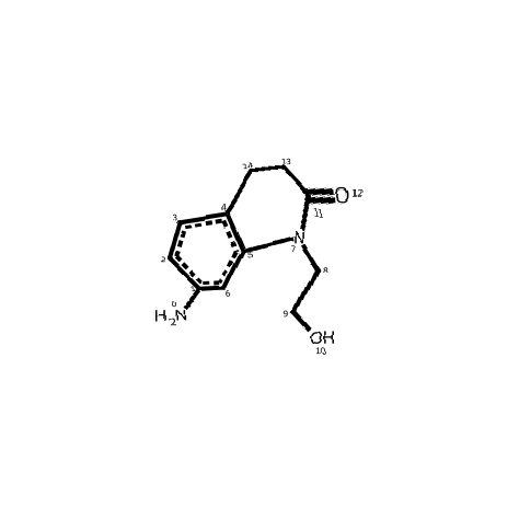 Nc1ccc2c(c1)N(CCO)C(=O)CC2